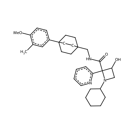 COc1ccc(C23CCC(CNC(=O)C4(c5ccccn5)C(O)CN4C4CCCCC4)(CC2)CC3)cc1C